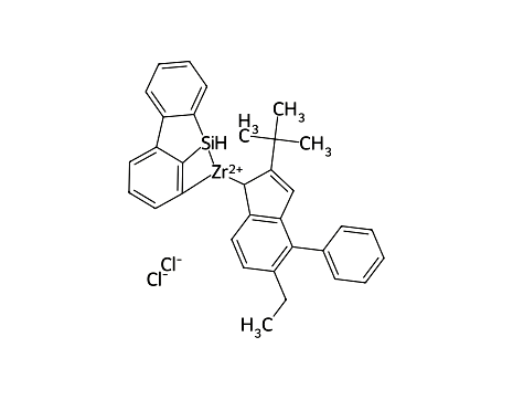 CCc1ccc2c(c1-c1ccccc1)C=C(C(C)(C)C)[CH]2[Zr+2]1[c]2cccc3c2[SiH]1c1ccccc1-3.[Cl-].[Cl-]